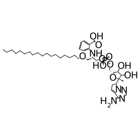 CCCCCCCCCCCCCCCCCCOC[C@H](COP(=O)(O)OC[C@H]1O[C@@](C)(C2CC=C3C(N)=NC=NN32)[C@H](O)[C@@H]1O)Nc1ccccc1C(=O)O